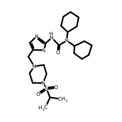 CC(C)S(=O)(=O)N1CCN(Cc2cnc(NC(=O)N(C3CCCCC3)C3CCCCC3)s2)CC1